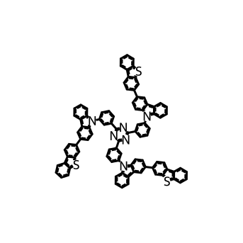 c1cc(-c2nc(-c3cccc(-n4c5ccccc5c5cc(-c6ccc7c(c6)sc6ccccc67)ccc54)c3)nc(-c3cccc(-n4c5ccccc5c5cc(-c6ccc7c(c6)sc6ccccc67)ccc54)c3)n2)cc(-n2c3ccccc3c3cc(-c4ccc5c(c4)sc4ccccc45)ccc32)c1